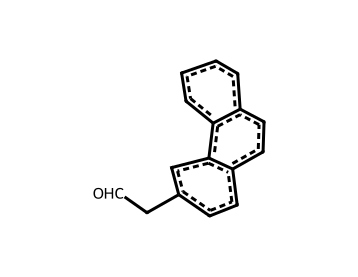 O=CCc1ccc2ccc3ccccc3c2c1